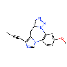 CC#Cc1ncn2c1Cc1cnnn1-c1cc(OC)ccc1-2